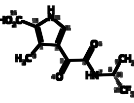 Cc1c(C(=O)C(=O)N[C@H](C)C(F)(F)F)c[nH]c1C(=O)O